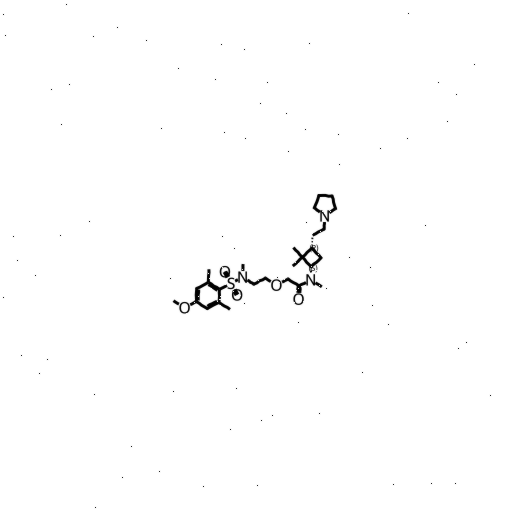 COc1cc(C)c(S(=O)(=O)N(C)CCOCC(=O)N(C)[C@H]2C[C@@H](CCN3CCCC3)C2(C)C)c(C)c1